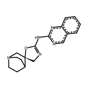 c1ccc2nc(NC3=NC[C@@]4(CN5CCC4CC5)O3)ncc2c1